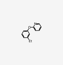 CCc1cccc(Oc2ccccn2)c1